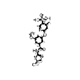 Cc1cc(Oc2cc(OC(C)C)cc(C(=O)NC3=NCC(Cl)S3)c2)ncc1P(=O)(O)O